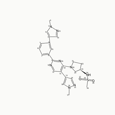 Cn1cc(-c2cccc(-c3ncc(-c4cnn(C)c4)c(N4CC[C@@H](NS(C)(=O)=O)C4)n3)c2)cn1